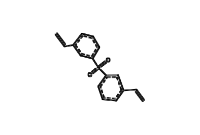 C=Cc1cccc(S(=O)(=O)c2cccc(C=C)c2)c1